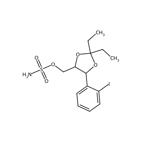 CCC1(CC)OC(COS(N)(=O)=O)C(c2ccccc2I)O1